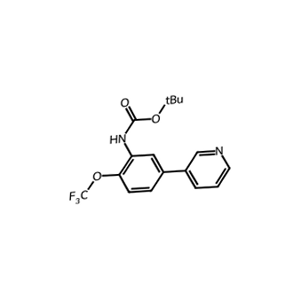 CC(C)(C)OC(=O)Nc1cc(-c2cccnc2)ccc1OC(F)(F)F